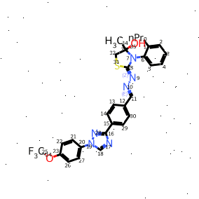 CCCc1ccccc1N1/C(=N/N=C/c2ccc(-c3ncn(-c4ccc(OC(F)(F)F)cc4)n3)cc2)SCC1(C)O